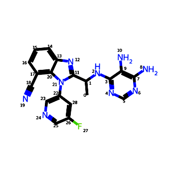 CC(Nc1ncnc(N)c1N)c1nc2cccc(C#N)c2n1-c1cncc(F)c1